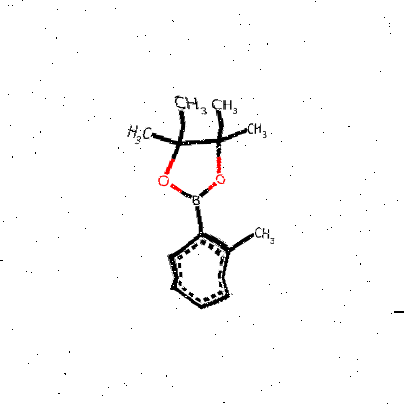 Cc1[c]cccc1B1OC(C)(C)C(C)(C)O1